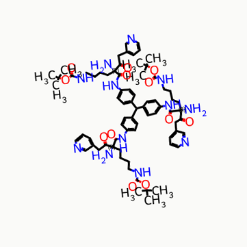 CC(C)(C)OC(=O)NCCCC[C@@](N)(C(=O)Cc1cccnc1)C(=O)Nc1ccc(C(c2ccc(NC(=O)[C@@](N)(CCCCNC(=O)OC(C)(C)C)C(=O)Cc3cccnc3)cc2)c2ccc(NC(=O)[C@@](N)(CCCCNC(=O)OC(C)(C)C)C(=O)Cc3cccnc3)cc2)cc1